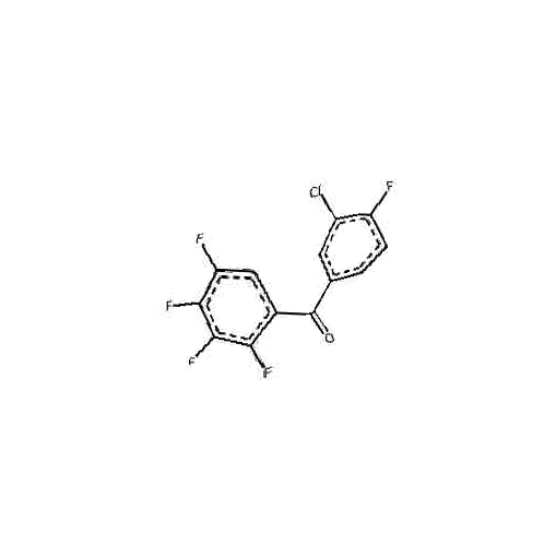 O=C(c1ccc(F)c(Cl)c1)c1cc(F)c(F)c(F)c1F